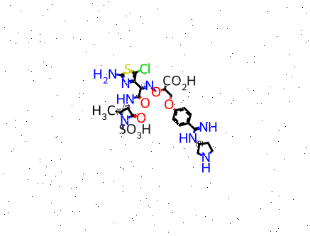 C[C@H]1[C@H](NC(=O)/C(=N\OC(COc2ccc(C(=N)N[C@@H]3CCNC3)cc2)C(=O)O)c2nc(N)sc2Cl)C(=O)N1S(=O)(=O)O